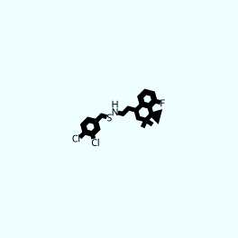 CC1(C)CC(CCNSCc2ccc(Cl)c(Cl)c2)c2cccc(F)c2C12CC2